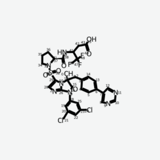 C[C@@]1(Cc2ccc(-c3cncnc3)cc2)C(=O)N(c2cc(Cl)cc(Cl)c2)c2ncc(S(=O)(=O)N3CCC[C@H]3C(=O)NC(CC(=O)O)C(F)(F)F)n21